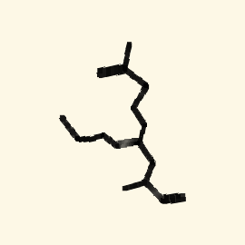 C=CC(C)CC(=CCCC)CCCC(=C)C